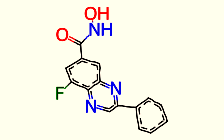 O=C(NO)c1cc(F)c2ncc(-c3ccccc3)nc2c1